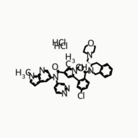 Cc1c(C(=O)N(c2ccnnc2)c2cnc3c(ccn3C)c2)cc(-c2cc(Cl)ccc2C(=O)N2Cc3ccccc3C[C@H]2CN2CCOCC2)n1C.Cl.Cl